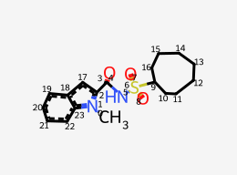 Cn1c(C(=O)NS(=O)(=O)C2CCCCCCC2)cc2ccccc21